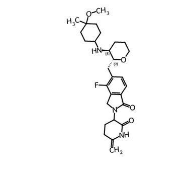 C=C1CCC(N2Cc3c(ccc(C[C@H]4OCCC[C@@H]4NC4CCC(C)(OC)CC4)c3F)C2=O)C(=O)N1